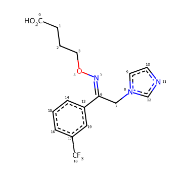 O=C(O)CCCO/N=C(/Cn1ccnc1)c1cccc(C(F)(F)F)c1